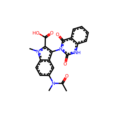 CC(=O)N(C)c1ccc2c(c1)c(-n1c(=O)[nH]c3ccccc3c1=O)c(C(=O)O)n2C